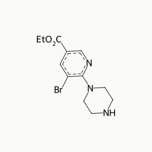 CCOC(=O)c1cnc(N2CCNCC2)c(Br)c1